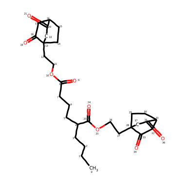 CCCCC(CCCC(=O)OCCC12CCC(CC1=O)C(=O)C2)C(=O)OCCC12CCC(CC1=O)C(=O)C2